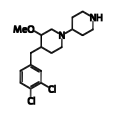 COC1CN(C2CCNCC2)CCC1Cc1ccc(Cl)c(Cl)c1